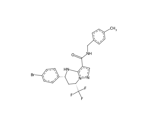 Cc1ccc(CNC(=O)c2cnn3c2N[C@@H](c2ccc(Br)cc2)C[C@H]3C(F)(F)F)cc1